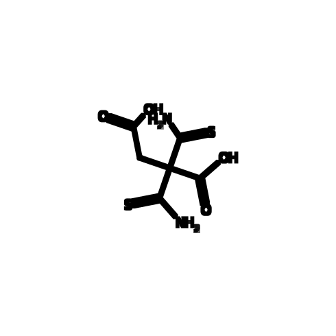 NC(=S)C(CC(=O)O)(C(=O)O)C(N)=S